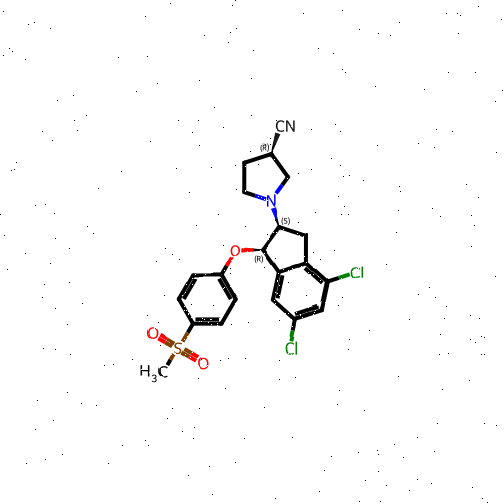 CS(=O)(=O)c1ccc(O[C@@H]2c3cc(Cl)cc(Cl)c3C[C@@H]2N2CC[C@@H](C#N)C2)cc1